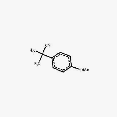 COc1ccc(C(C)(C#N)C(F)(F)F)cc1